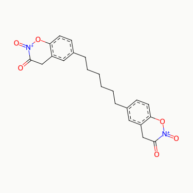 O=C1Cc2cc(CCCCCCc3ccc4c(c3)CC(=O)[N+](=O)O4)ccc2O[N+]1=O